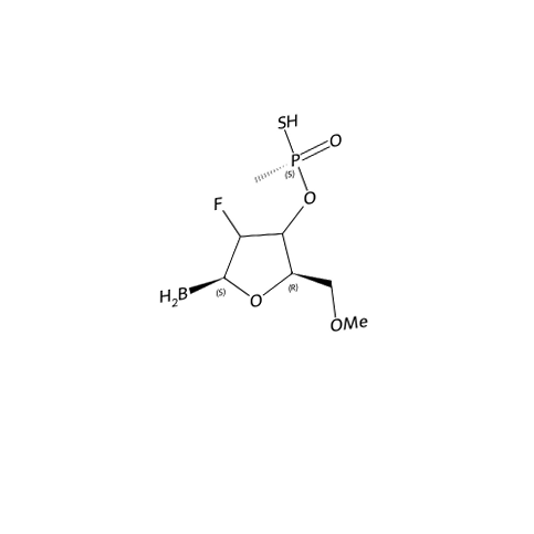 B[C@@H]1O[C@H](COC)C(O[P@](C)(=O)S)C1F